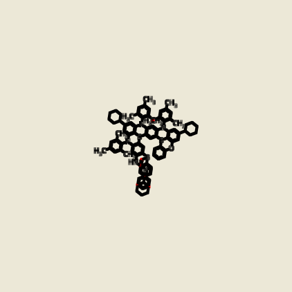 Cc1cc(C)c(N2c3cc4c(cc3B3c5ccccc5Oc5cc(C6CCCCC6)cc2c53)B2c3cc5c(cc3N(c3c(C)cc(C)cc3C)c3cc(C6CCCCC6)cc(c32)N4c2c(C)cc(C)cc2C)Nc2cc(C3CCCCC3)cc3c2B5c2ccccc2N3c2ccccc2)c(C)c1